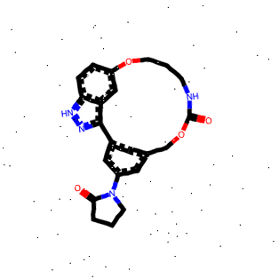 O=C1NCCCOc2ccc3[nH]nc(c3c2)-c2cc(cc(N3CCCC3=O)c2)CO1